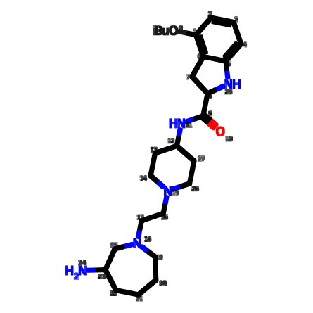 CC(C)COc1cccc2c1CC(C(=O)NC1CCN(CCN3CCCCC(N)C3)CC1)N2